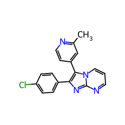 Cc1cc(-c2c(-c3ccc(Cl)cc3)nc3ncccn23)ccn1